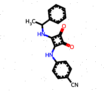 CC(Nc1c(Nc2ccc(C#N)cc2)c(=O)c1=O)c1ccccc1